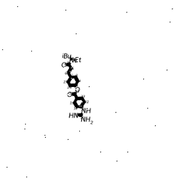 CCC(C)N(CC)C(=O)/C=C/c1ccc(OC(=O)c2ccc(NC(=N)N)cc2)cc1